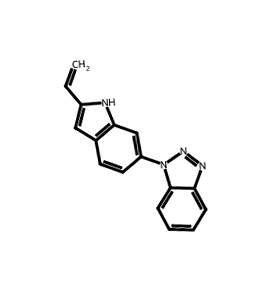 C=Cc1cc2ccc(-n3nnc4ccccc43)cc2[nH]1